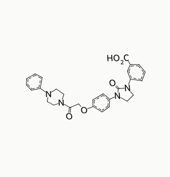 O=C(O)c1cccc(N2CCN(c3ccc(OCC(=O)N4CCN(c5ccccc5)CC4)cc3)C2=O)c1